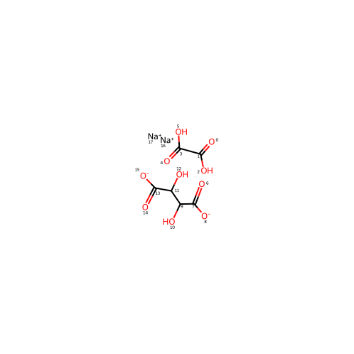 O=C(O)C(=O)O.O=C([O-])C(O)C(O)C(=O)[O-].[Na+].[Na+]